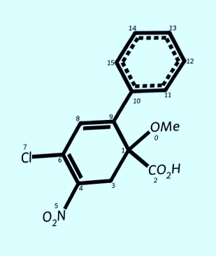 COC1(C(=O)O)CC([N+](=O)[O-])=C(Cl)C=C1c1ccccc1